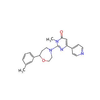 Cc1cccc(C2CCN(c3nc(-c4ccncc4)cc(=O)n3C)CCO2)c1